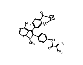 C=C(C)C(=O)Nc1ccc(-c2c(-c3ccc(C(=O)N4CC5CC4(C)C5)cc3)c3c(N)ncnc3n2C)cc1